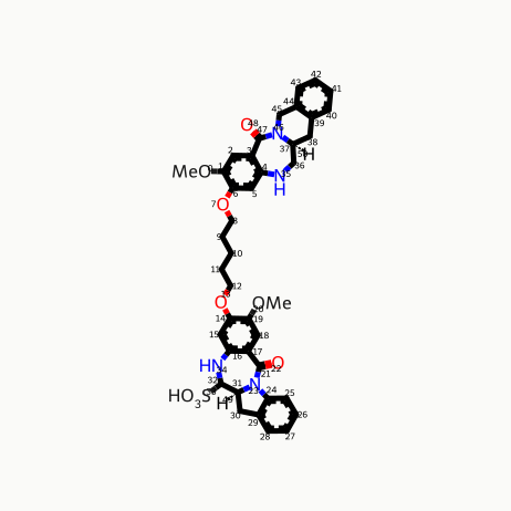 COc1cc2c(cc1OCCCCCOc1cc3c(cc1OC)C(=O)N1c4ccccc4C[C@H]1C(S(=O)(=O)O)N3)NC[C@@H]1Cc3ccccc3CN1C2=O